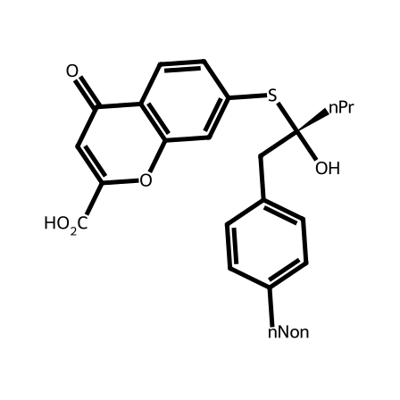 CCCCCCCCCc1ccc(C[C@](O)(CCC)Sc2ccc3c(=O)cc(C(=O)O)oc3c2)cc1